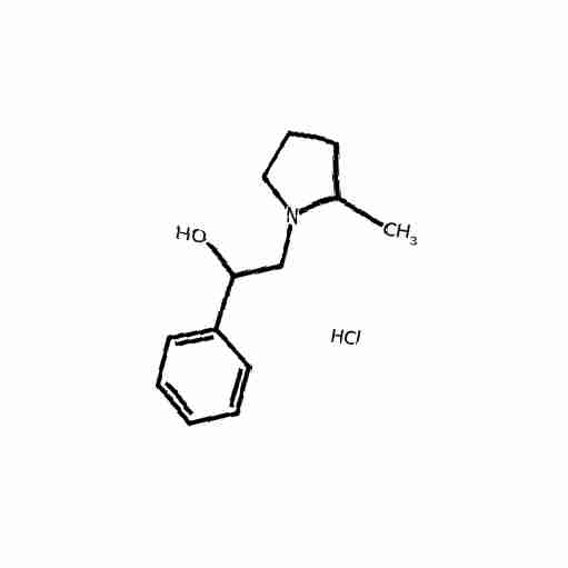 CC1CCCN1CC(O)c1ccccc1.Cl